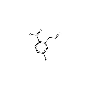 O=CCc1cc(Br)ccc1[N+](=O)[O-]